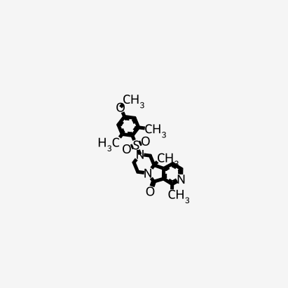 COc1cc(C)c(S(=O)(=O)N2CCN3C(=O)c4c(ccnc4C)C3(C)C2)c(C)c1